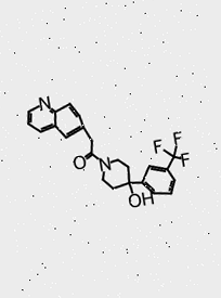 O=C(Cc1ccc2ncccc2c1)N1CCC(O)(c2cccc(C(F)(F)F)c2)CC1